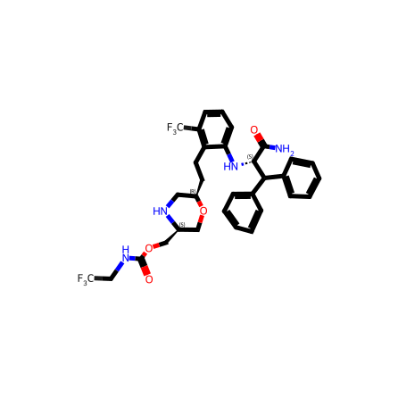 NC(=O)[C@@H](Nc1cccc(C(F)(F)F)c1CC[C@@H]1CN[C@H](COC(=O)NCC(F)(F)F)CO1)C(c1ccccc1)c1ccccc1